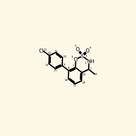 CC1NS(=O)(=O)Oc2c(-c3ccc(Cl)cc3)cccc21